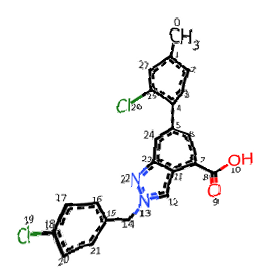 Cc1ccc(-c2cc(C(=O)O)c3cn(Cc4ccc(Cl)cc4)nc3c2)c(Cl)c1